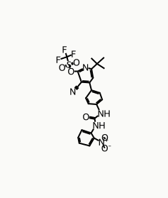 CC(C)(C)c1cc(-c2ccc(NC(=O)Nc3ccccc3[N+](=O)[O-])cc2)c(C#N)c(OS(=O)(=O)C(F)(F)F)n1